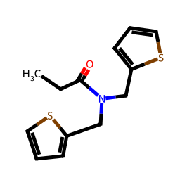 CCC(=O)N(Cc1cccs1)Cc1cccs1